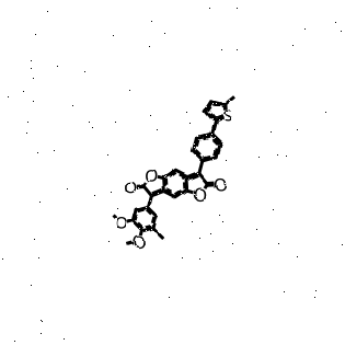 COc1cc(C2=c3cc4c(cc3OC2=O)=C(c2ccc(-c3ccc(C)s3)cc2)C(=O)O4)cc(C)c1OC